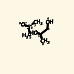 CC(O)CO.C[S+](C)[O-]